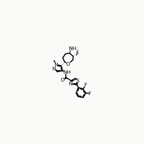 Cn1ncc(NC(=O)c2csc(-c3cccc(F)c3F)n2)c1[C@@H]1CC[C@@H](N)[C@H](F)CO1